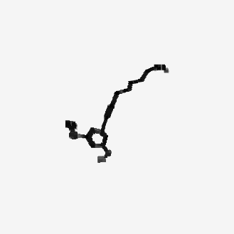 CCOc1cc(C#CCCCCCN)cc(OCC)c1